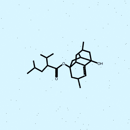 CC(C)CC(C(=O)OC12CC(C)C=C3C1CC(C)CC3(O)C(C)C2)C(C)C